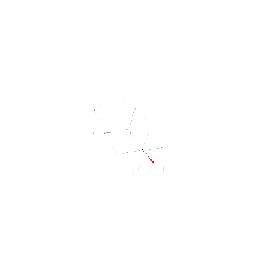 CB(O)N1C2CC[C@@H]1C[C@H](O)C2